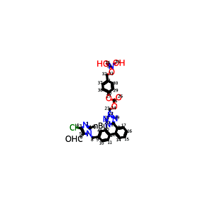 CCCCc1nc(Cl)c(C=O)n1Cc1ccc(-c2ccccc2-c2nnn(COC(=O)Oc3ccc(CON(O)O)cc3)n2)cc1